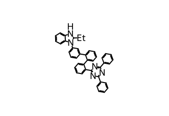 CCC1Nc2ccccc2N1c1cccc(-c2ccccc2-c2ccccc2-c2nc(-c3ccccc3)nc(-c3ccccc3)n2)c1